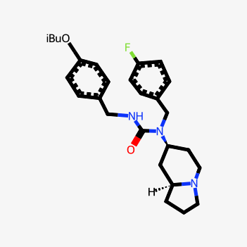 CC(C)COc1ccc(CNC(=O)N(Cc2ccc(F)cc2)[C@H]2CCN3CCC[C@H]3C2)cc1